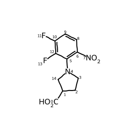 O=C(O)C1CCN(c2c([N+](=O)[O-])ccc(F)c2F)C1